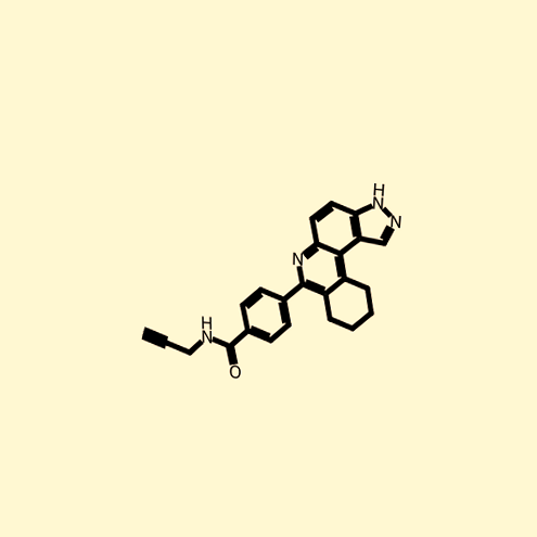 C#CCNC(=O)c1ccc(-c2nc3ccc4[nH]ncc4c3c3c2CCCC3)cc1